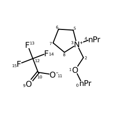 CCCOC[N+]1(CCC)CCCC1.O=C([O-])C(F)(F)F